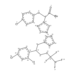 CC(C)(C)C(=O)C(Oc1ccc(Cl)cc1)n1cncn1.FC(F)C(F)(F)OCC(Cn1cncn1)c1ccc(Cl)cc1Cl